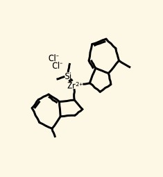 CC1CC=CC=C2C1CC[CH]2[Zr+2]([CH]1CCC2C1=CC=CCC2C)=[Si](C)C.[Cl-].[Cl-]